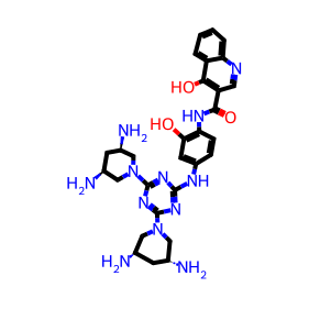 N[C@@H]1C[C@H](N)CN(c2nc(Nc3ccc(NC(=O)c4cnc5ccccc5c4O)c(O)c3)nc(N3C[C@H](N)C[C@H](N)C3)n2)C1